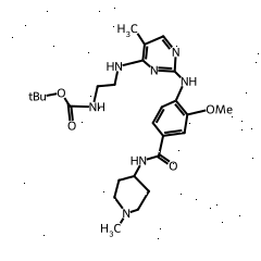 COc1cc(C(=O)NC2CCN(C)CC2)ccc1Nc1ncc(C)c(NCCNC(=O)OC(C)(C)C)n1